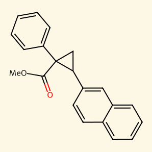 COC(=O)C1(c2ccccc2)CC1c1ccc2ccccc2c1